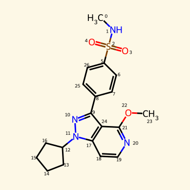 CNS(=O)(=O)c1ccc(-c2nn(C3CCCC3)c3ccnc(OC)c23)cc1